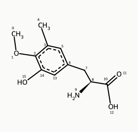 COc1c(C)cc(C[C@H](N)C(=O)O)cc1O